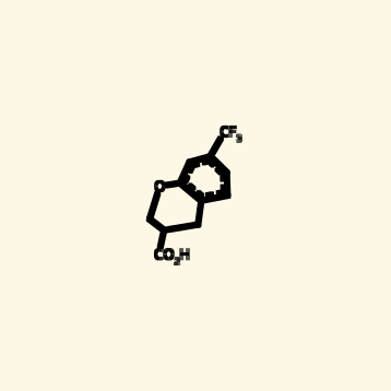 O=C(O)C1COc2cc(C(F)(F)F)ccc2C1